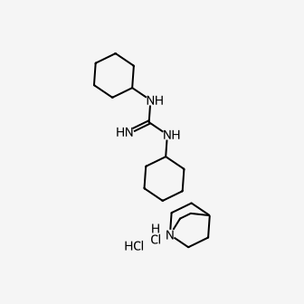 C1CN2CCC1CC2.Cl.Cl.N=C(NC1CCCCC1)NC1CCCCC1